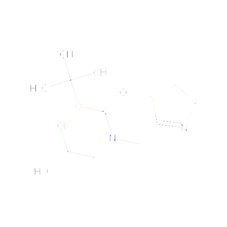 CC(Cl)CN(Cc1nccs1)C(=O)OC(C)(C)C